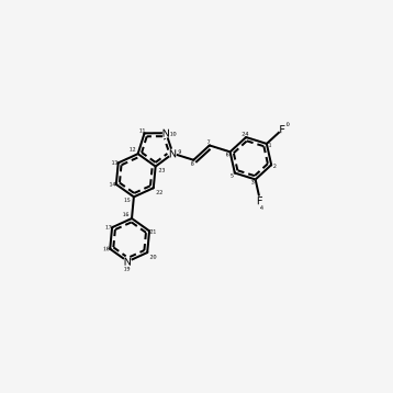 Fc1cc(F)cc(C=Cn2ncc3ccc(-c4ccncc4)cc32)c1